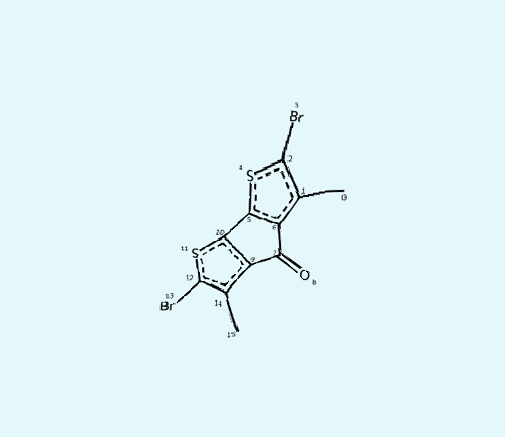 Cc1c(Br)sc2c1C(=O)c1c-2sc(Br)c1C